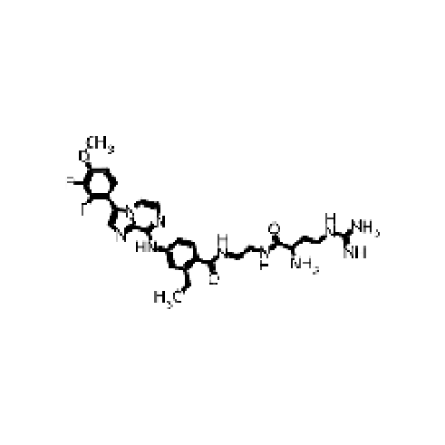 CCc1cc(Nc2nccn3c(-c4ccc(OC)c(F)c4F)cnc23)ccc1C(=O)NCCNC(=O)C(N)CCNC(=N)N